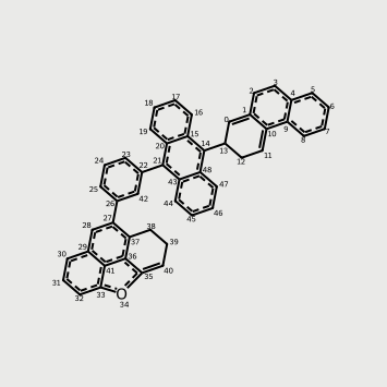 C1=c2ccc3ccccc3c2=CCC1c1c2ccccc2c(-c2cccc(-c3cc4cccc5oc6c(c3CCC=6)c45)c2)c2ccccc12